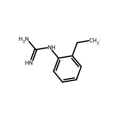 [CH2]Cc1ccccc1NC(=N)N